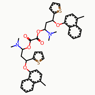 Cc1ccc(OC(CC(OC(=O)C(=O)OC(CC(Oc2ccc(C)c3ccccc23)c2cccs2)N(C)C)N(C)C)c2cccs2)c2ccccc12